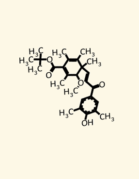 COC1C(C)=C(C(=O)OC(C)(C)C)C(C)=C(C)C1(C)C=CC(=O)c1cc(C)c(O)c(C)c1